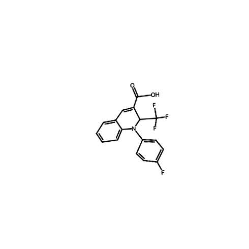 O=C(O)C1=Cc2ccccc2N(c2ccc(F)cc2)C1C(F)(F)F